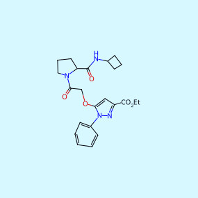 CCOC(=O)c1cc(OCC(=O)N2CCCC2C(=O)NC2CCC2)n(-c2ccccc2)n1